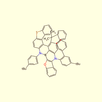 CC(C)(C)c1ccc(N2B3c4oc5ccccc5c4N(c4ccc(C(C)(C)C)cc4-c4ccccc4)c4cc5c(c(c43)-c3c2ccc2sc4ccccc4c32)C(C)(C)c2ccccc2-5)cc1